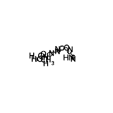 CC(C)(O)C(=O)NC1CCN(CCn2cc3cc(Oc4ccc(-c5ccn[nH]5)cn4)ccc3n2)CC1